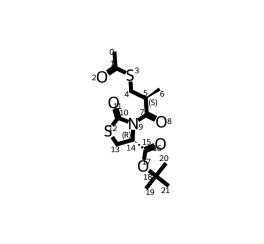 CC(=O)SC[C@@H](C)C(=O)N1C(=O)SC[C@H]1C(=O)OC(C)(C)C